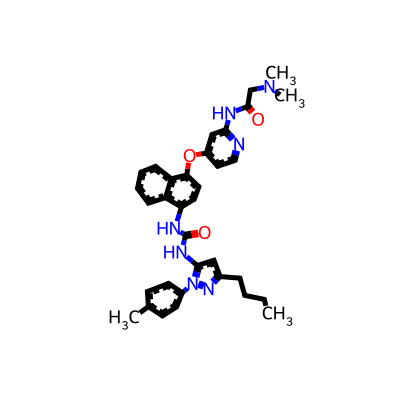 CCCCc1cc(NC(=O)Nc2ccc(Oc3ccnc(NC(=O)CN(C)C)c3)c3ccccc23)n(-c2ccc(C)cc2)n1